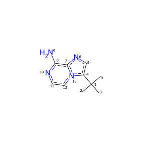 CC(C)(C)c1cnc2c(N)nccn12